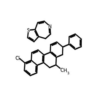 C1=Cc2sccc2CC=N1.CC1Cc2c(ccc3c(Cl)cccc23)C2=C1CC(c1ccccc1)C=C2